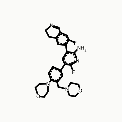 Nc1nc(F)c(-c2ccc(N3CCOCC3)c(CN3CCOCC3)c2)cc1-c1cc2c(cc1F)C=NCC2